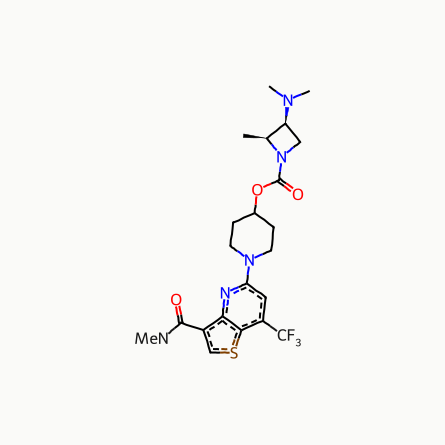 CNC(=O)c1csc2c(C(F)(F)F)cc(N3CCC(OC(=O)N4C[C@H](N(C)C)[C@@H]4C)CC3)nc12